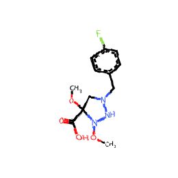 CON1NN(Cc2ccc(F)cc2)CC1(OC)C(=O)O